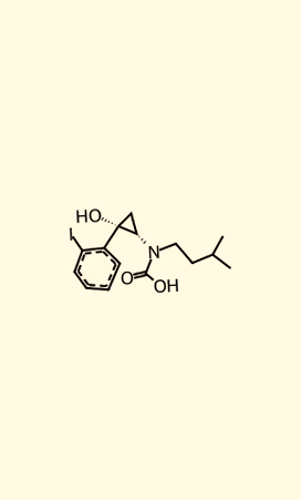 CC(C)CCN(C(=O)O)[C@H]1C[C@]1(O)c1ccccc1I